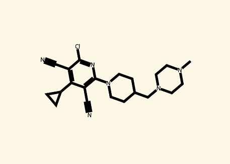 CN1CCN(CC2CCN(c3nc(Cl)c(C#N)c(C4CC4)c3C#N)CC2)CC1